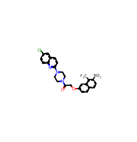 O=C(COc1ccc2ccc([N+](=O)[O-])c(C(F)(F)F)c2c1)N1CCN(c2ccc3cc(Cl)ccc3n2)CC1